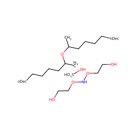 CCCCCCCCCCCCCCC(C)OC(C)CCCCCCCCCCCCCC.O=S(=O)(O)O.OCCONOCCO